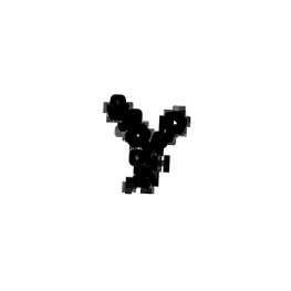 C=S(=O)(c1ccc(/C(=N\OCC2=CCCC=N2)C(=O)Nc2ncc(F)s2)cc1)[C@H]1CCOC1